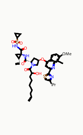 C=CCCCCCC(O)C(=O)N1C[C@H](Oc2cc(-c3nc(C(C)C)cs3)nc3c(C)c(OC)ccc23)C[C@H]1C(=O)N[C@]1(C(=O)NS(=O)(=O)C2CC2)C[C@H]1C=C